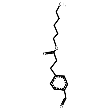 CCCCCCOC(=O)CCc1ccc(C=O)cc1